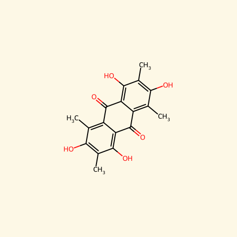 Cc1c(O)c(C)c2c(c1O)C(=O)c1c(C)c(O)c(C)c(O)c1C2=O